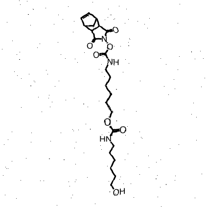 O=C(NCCCCCCO)OCCCCCCNC(=O)ON1C(=O)C2C3C=CC(C3)C2C1=O